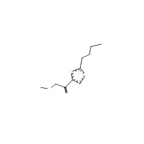 CCCCc1nc(C(=O)COC)cs1